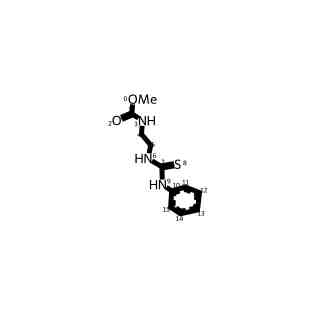 COC(=O)NCCNC(=S)Nc1ccccc1